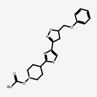 CC(C)(C)C(=O)ON1CCC(c2nc(C3=NOC(COc4ccccc4)C3)cs2)CC1